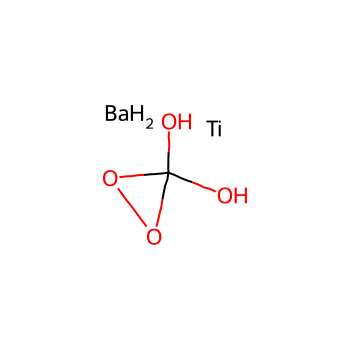 OC1(O)OO1.[BaH2].[Ti]